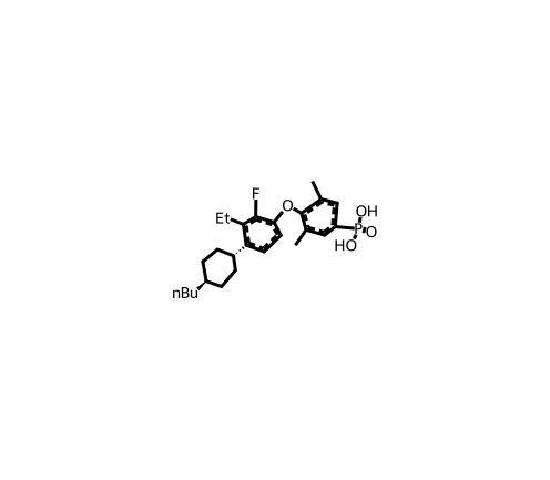 CCCC[C@H]1CC[C@H](c2ccc(Oc3c(C)cc(P(=O)(O)O)cc3C)c(F)c2CC)CC1